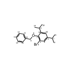 CC(C)c1cc(Br)c(OCc2ccccc2)c(C(C)C)c1